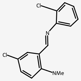 CNc1ccc(Cl)cc1C=Nc1ccccc1Cl